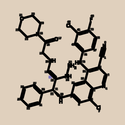 N#Cc1cnc2c(Cl)cc(N[C@H](/C(=C/NCC(=O)N3CCOCC3)NN)c3ccccc3)cc2c1Nc1ccc(F)c(Cl)c1